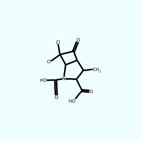 CC1C2C(=O)C(Cl)(Cl)C2N(C(=O)O)C1C(=O)O